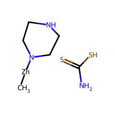 NC(=S)S.[CH3][Zn][N]1CCNCC1